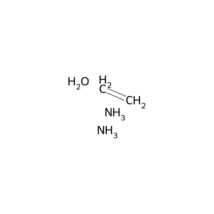 C=C.N.N.O